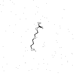 CCCCOCCOC(=S)S